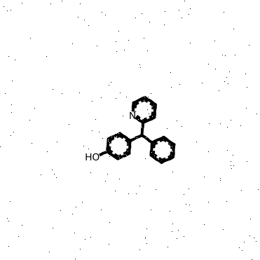 Oc1ccc(C(c2ccccc2)c2ccccn2)cc1